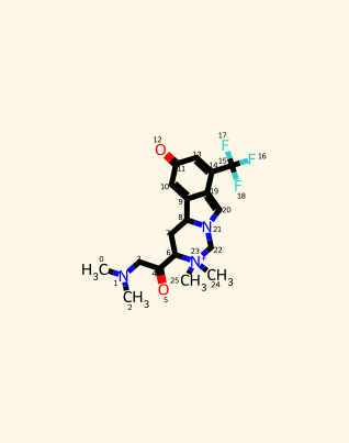 CN(C)CC(=O)C1CC2C3=CC(=O)C=C(C(F)(F)F)C3=CN2C[N+]1(C)C